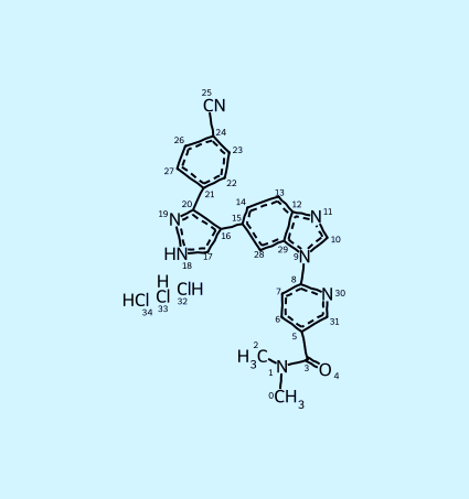 CN(C)C(=O)c1ccc(-n2cnc3ccc(-c4c[nH]nc4-c4ccc(C#N)cc4)cc32)nc1.Cl.Cl.Cl